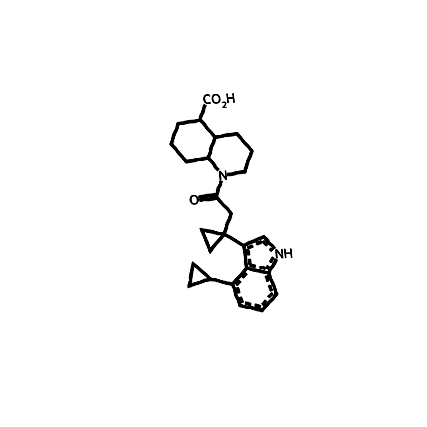 O=C(O)C1CCCC2C1CCCN2C(=O)CC1(c2c[nH]c3cccc(C4CC4)c23)CC1